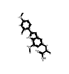 COc1ccc(-c2cc3cc(CC(C)C(=O)O)cc(OC)c3o2)c(C)c1